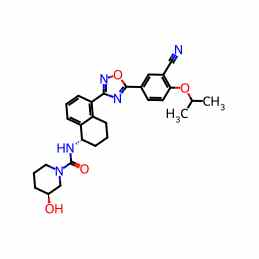 CC(C)Oc1ccc(-c2nc(-c3cccc4c3CCC[C@@H]4NC(=O)N3CCC[C@H](O)C3)no2)cc1C#N